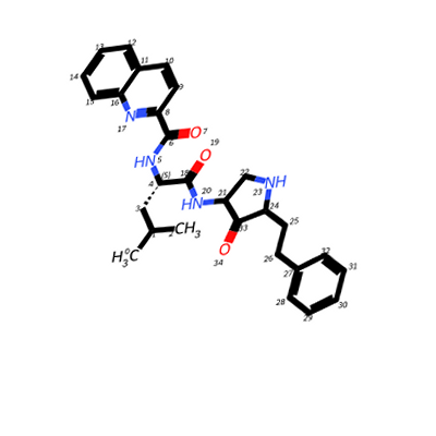 CC(C)C[C@H](NC(=O)c1ccc2ccccc2n1)C(=O)NC1CNC(CCc2ccccc2)C1=O